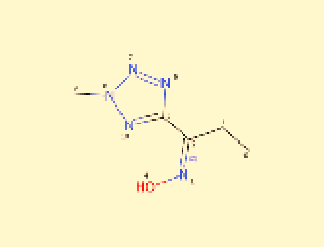 CC/C(=N/O)c1nnn(C)n1